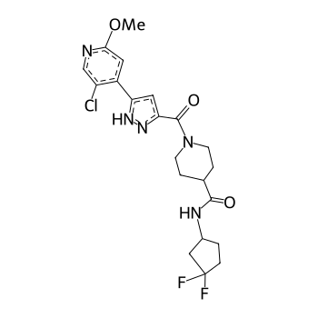 COc1cc(-c2cc(C(=O)N3CCC(C(=O)NC4CCC(F)(F)C4)CC3)n[nH]2)c(Cl)cn1